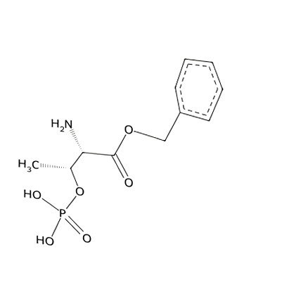 C[C@@H](OP(=O)(O)O)[C@H](N)C(=O)OCc1ccccc1